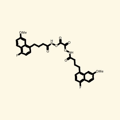 COc1ccc2c(F)ccc(CCCC(=O)NOC(=O)C(=O)ONC(=O)CCCc3ccc(F)c4ccc(OC)cc34)c2c1